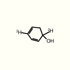 [2H]C1=CCC([2H])(O)C=C1